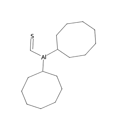 S=[CH][Al]([CH]1CCCCCCC1)[CH]1CCCCCCC1